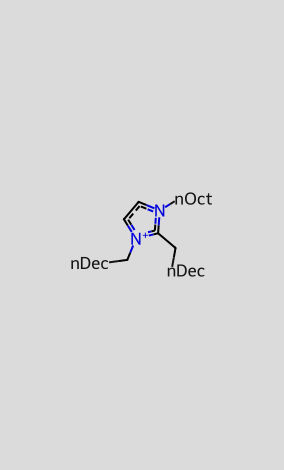 CCCCCCCCCCCc1n(CCCCCCCC)cc[n+]1CCCCCCCCCCC